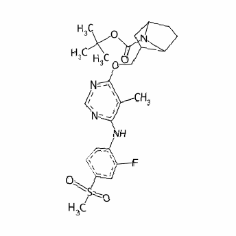 Cc1c(Nc2ccc(S(C)(=O)=O)cc2F)ncnc1OCC1CC2CCC1N2C(=O)OC(C)(C)C